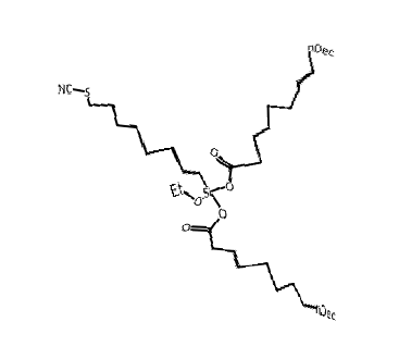 CCCCCCCCCCCCCCCCCC(=O)O[Si](CCCCCCCCSC#N)(OCC)OC(=O)CCCCCCCCCCCCCCCCC